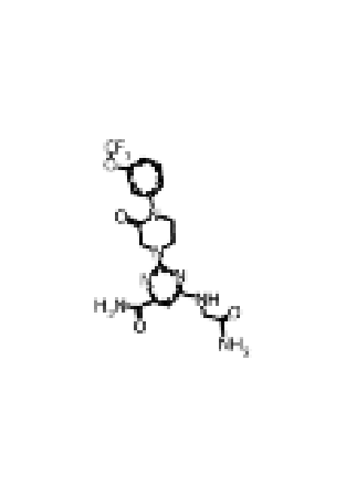 NC(=O)CNc1cc(C(N)=O)nc(N2CCN(c3cccc(OC(F)(F)F)c3)C(=O)C2)n1